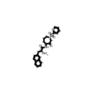 N[C@@H](Cc1ccc2ccccc2c1)C(=O)NC1CCCN(S(=O)(=O)c2ccccn2)CC1=O